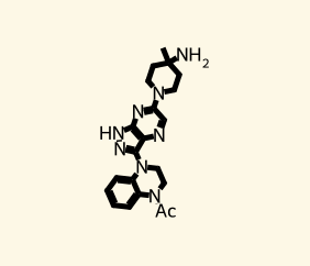 CC(=O)N1CCN(c2n[nH]c3nc(N4CCC(C)(N)CC4)cnc23)c2ccccc21